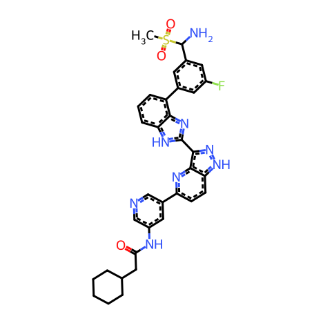 CS(=O)(=O)C(N)c1cc(F)cc(-c2cccc3[nH]c(-c4n[nH]c5ccc(-c6cncc(NC(=O)CC7CCCCC7)c6)nc45)nc23)c1